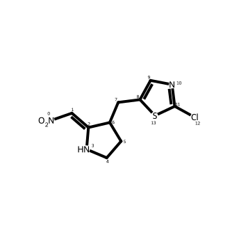 O=[N+]([O-])/C=C1\NCCC1Cc1cnc(Cl)s1